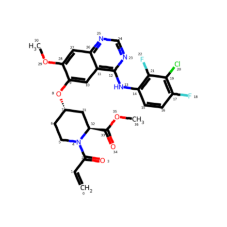 C=CC(=O)N1CC[C@H](Oc2cc3c(Nc4ccc(F)c(Cl)c4F)ncnc3cc2OC)C[C@H]1C(=O)OC